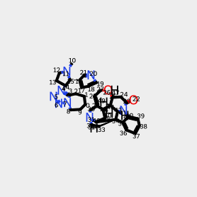 C1CCc2nnnn2CC1.CN1CCC[C@H]1c1cccnc1.O=C1C[C@@H]2OCC=C3CN4CC[C@]56c7ccccc7N1[C@H]5[C@H]2[C@H]3C[C@H]46